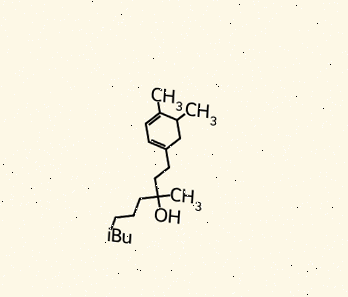 CCC(C)CCCC(C)(O)CCC1=CC=C(C)C(C)C1